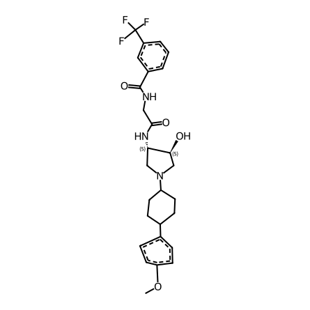 COc1ccc(C2CCC(N3C[C@H](NC(=O)CNC(=O)c4cccc(C(F)(F)F)c4)[C@@H](O)C3)CC2)cc1